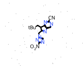 CC(C)(C)CC1C(Cn2cnc([N+](=O)[O-])n2)=Nc2cnc(C#N)nc21